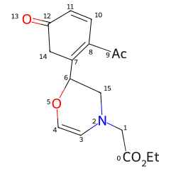 CCOC(=O)CN1C=COC(C2=C(C(C)=O)C=CC(=O)C2)C1